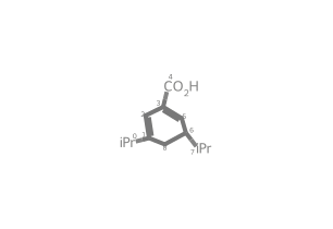 CC(C)C1=CC(C(=O)O)=CC(C(C)C)C1